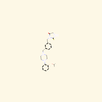 CC(C)Oc1ccccc1N1CCN(Cc2cccc(CN3C(=O)CNC3=S)c2)CC1